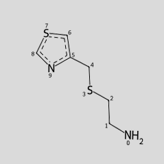 NCCSCc1cscn1